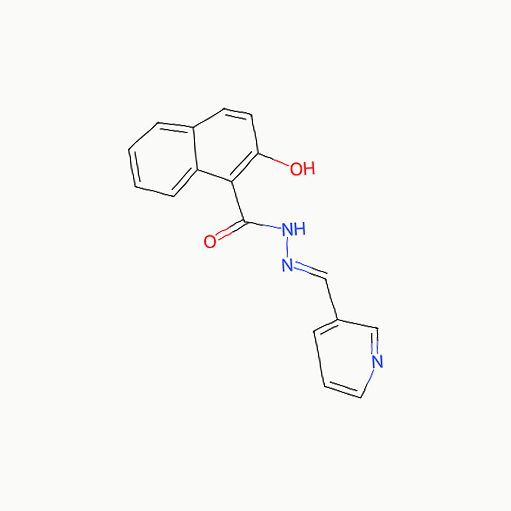 O=C(NN=Cc1cccnc1)c1c(O)ccc2ccccc12